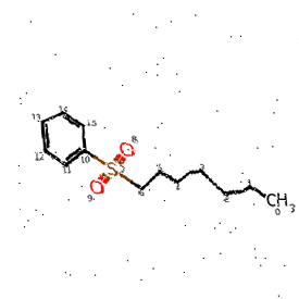 CCCCCCCS(=O)(=O)c1cc[c]cc1